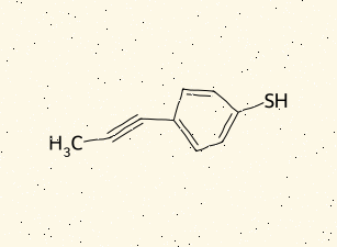 CC#Cc1ccc(S)cc1